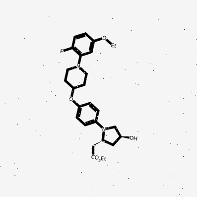 CCOC(=O)C[C@H]1C[C@H](O)CN1c1ccc(OC2CCN(c3cc(OCC)ccc3F)CC2)cc1